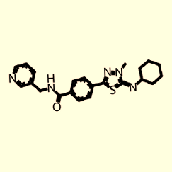 Cn1nc(-c2ccc(C(=O)NCc3cccnc3)cc2)s/c1=N/C1CCCCC1